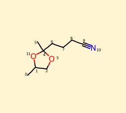 CC1COC(C)(CCCC#N)O1